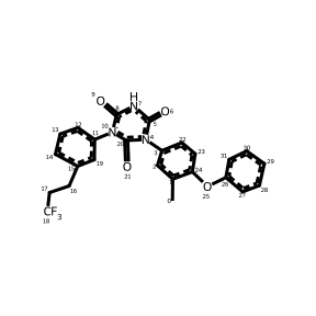 Cc1cc(-n2c(=O)[nH]c(=O)n(-c3cccc(CCC(F)(F)F)c3)c2=O)ccc1Oc1ccccc1